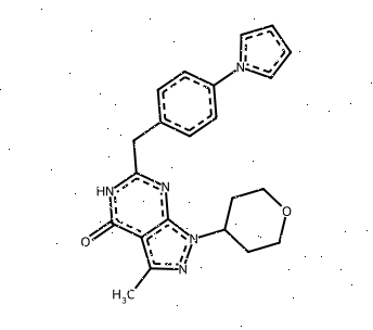 Cc1nn(C2CCOCC2)c2nc(Cc3ccc(-n4cccc4)cc3)[nH]c(=O)c12